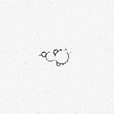 C=C1[C@@H](O)[C@@H](O)CC[C@@H](CC)S(=O)(=O)NC(=O)c2ccc3c(c2)N(CCCCc2cc(Cl)ccc2CO3)C[C@@H]2CC[C@@H]12